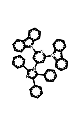 c1ccc(-c2nc(-c3ccccc3)n(-c3cc(-n4c5ccccc5c5ccccc54)nc(-n4c5ccccc5c5ccccc54)c3)c2-c2ccccc2)cc1